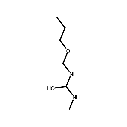 CCCOCNC(O)NC